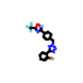 FC(F)(F)c1nc(-c2ccc(Cn3nnc(-c4ccccc4Br)n3)cc2)no1